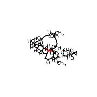 C=C1C[C@@H]2CC[C@@]3(O)C[C@@H](O)[C@@H]4CC5[C@H]4O[C@H]4CC[C@@H]6CC(=O)C[C@@H]7[C@@H](OC)[C@@H](C[C@@H](CNC(=O)C8(O)CC8)OC)O[C@H]7C[C@H]7O[C@@H](CC[C@@H]1O2)C[C@@H](C)/C7=N/[C@@]4(O6)[C@@H]5O3